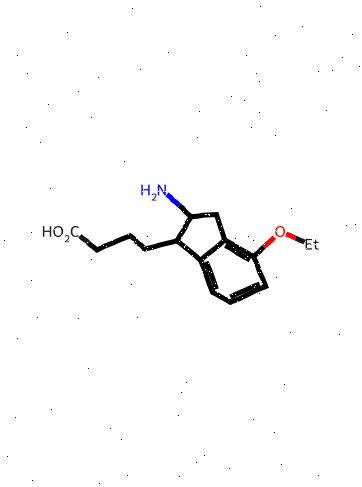 CCOc1cccc2c1CC(N)C2CCCC(=O)O